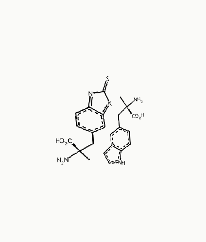 C[C@](N)(Cc1ccc2[nH]ccc2c1)C(=O)O.C[C@](N)(Cc1ccc2c(c1)=NC(=S)N=2)C(=O)O